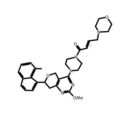 COc1nc2c(c(N3CCN(C(=O)/C=C/CN4CCOCC4)CC3)n1)COC(c1cccc3cccc(C)c13)C2